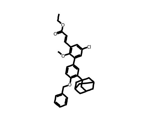 CCOC(=O)/C=C/c1cc(Cl)cc(-c2ccc(OCc3ccccc3)c(C34CC5CC(CC(C5)C3)C4)c2)c1OC